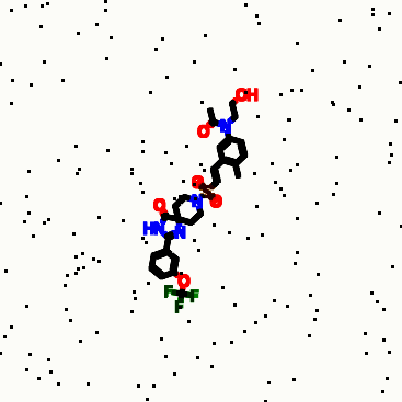 CC(=O)N(CCO)c1ccc(C)c(C=CS(=O)(=O)N2CCC3(CC2)N=C(c2cccc(OC(F)(F)F)c2)NC3=O)c1